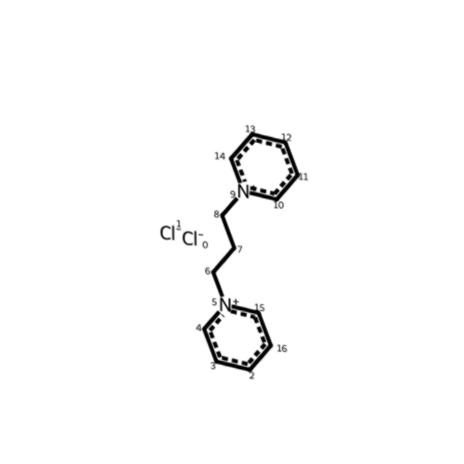 [Cl-].[Cl-].c1cc[n+](CCC[n+]2ccccc2)cc1